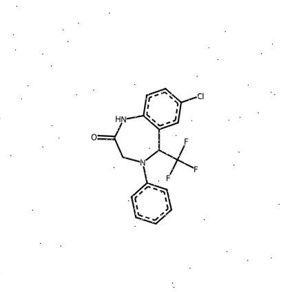 O=C1CN(c2ccccc2)C(C(F)(F)F)c2cc(Cl)ccc2N1